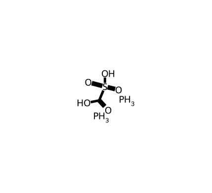 O=C(O)S(=O)(=O)O.P.P